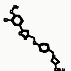 CC(C)Oc1ccc(-c2cc(COc3ccc(CN4CC(C(=O)O)C4)cc3)no2)cc1Cl